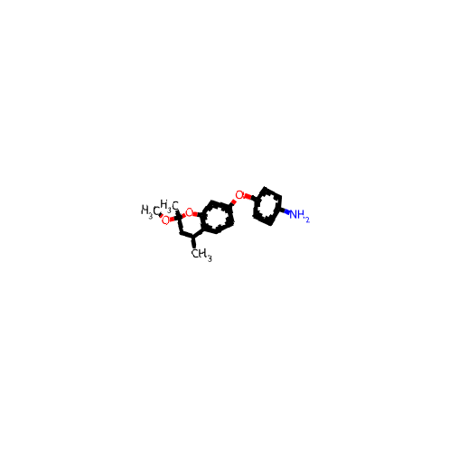 COC1(C)CC(C)c2ccc(Oc3ccc(N)cc3)cc2O1